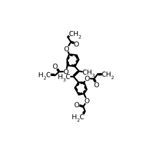 C=CC(=O)Oc1ccc(/C(C)=C(\C)c2ccc(OC(=O)C=C)cc2OC(=O)C=C)c(OC(=O)C=C)c1